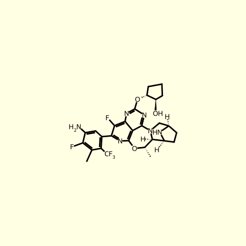 Cc1c(F)c(N)cc(-c2nc3c4c(nc(O[C@@H]5CCC[C@H]5O)nc4c2F)N2C[C@H]4CC[C@H](N4)[C@H]2[C@H](C)O3)c1C(F)(F)F